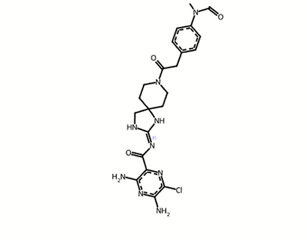 Nc1nc(N)c(C(=O)/N=C2\NCC3(CCN(C(=O)Cc4ccc(N5CCNC5=O)cc4)CC3)N2)nc1Cl